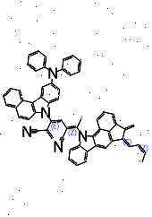 C=C(C#N)/C(=C\C(C#N)=C(/C)n1c2ccccc2c2cc3c4c(cccc4c21)C(=C)/C3=C\C=C/C)n1c2ccc(N(c3ccccc3)c3ccccc3)cc2c2c3ccccc3ccc21